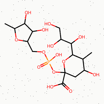 CC1OC(COP(=O)(O)OC2(C(=O)O)CC(O)C(C)C(C(O)C(O)CO)O2)C(O)C1O